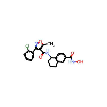 Cc1onc(-c2ccccc2Cl)c1C(=O)NC1CCCc2cc(C(=O)NO)ccc21